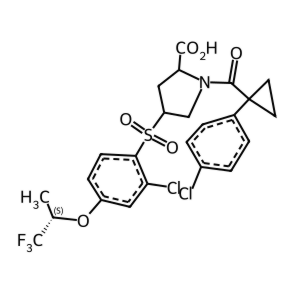 C[C@H](Oc1ccc(S(=O)(=O)C2CC(C(=O)O)N(C(=O)C3(c4ccc(Cl)cc4)CC3)C2)c(Cl)c1)C(F)(F)F